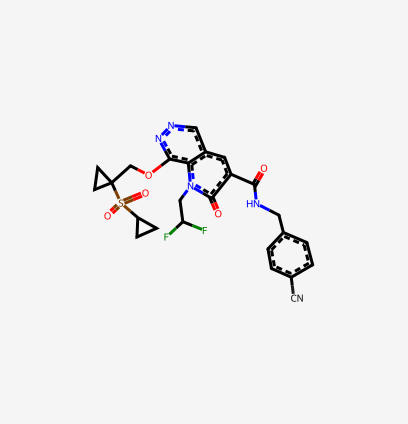 N#Cc1ccc(CNC(=O)c2cc3cnnc(OCC4(S(=O)(=O)C5CC5)CC4)c3n(CC(F)F)c2=O)cc1